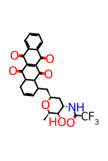 C[C@H]1O[C@@H](CC2C=CCC3C(=O)C4=C(C(=O)c5ccccc5C4=O)C(=O)C23)C[C@H](NC(=O)C(F)(F)F)[C@H]1O